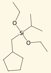 CCO[Si](CC1CCCC1)(OCC)C(C)C